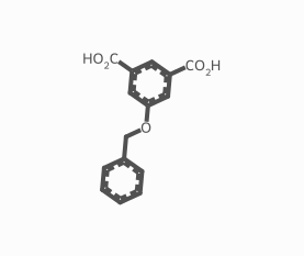 O=C(O)c1cc(OCc2ccccc2)cc(C(=O)O)c1